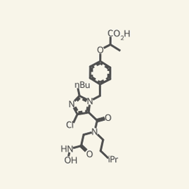 CCCCc1nc(Cl)c(C(=O)N(CCC(C)C)CC(=O)NO)n1Cc1ccc(OC(C)C(=O)O)cc1